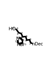 Br.CCCCCCCCCCCCCCCCCCO.c1ccncc1